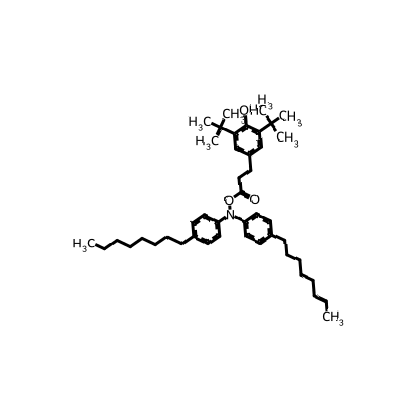 CCCCCCCCc1ccc(N(OC(=O)CCc2cc(C(C)(C)C)c(O)c(C(C)(C)C)c2)c2ccc(CCCCCCCC)cc2)cc1